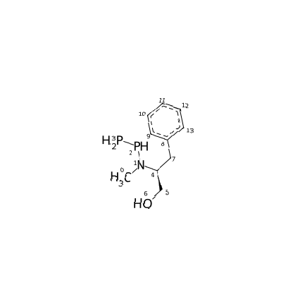 CN(PP)[C@H](CO)Cc1ccccc1